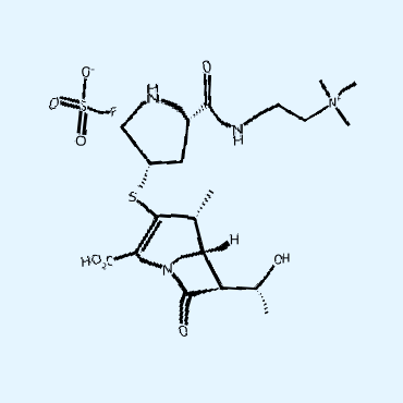 C[C@@H](O)[C@H]1C(=O)N2C(C(=O)O)=C(S[C@@H]3CN[C@H](C(=O)NCC[N+](C)(C)C)C3)[C@H](C)[C@H]12.O=S(=O)([O-])F